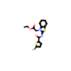 CCOC(=O)Cn1c(=NC(=O)c2ccc(Cl)s2)sc2ccccc21